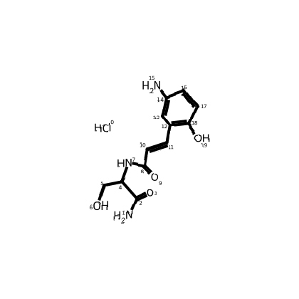 Cl.NC(=O)C(CO)NC(=O)/C=C/c1cc(N)ccc1O